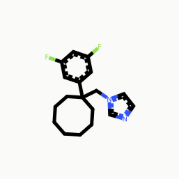 Fc1cc(F)cc(C2(Cn3ccnc3)CCCCCCC2)c1